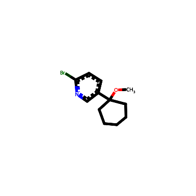 COC1(c2ccc(Br)nc2)CCCCC1